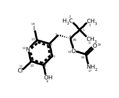 CC(C)(C)[C@@H](Cc1cc(O)c(Cl)nc1I)OC(N)=O